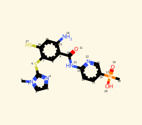 Cn1ccnc1Sc1cc(C(=O)Nc2ccc(P(C)(=O)O)cn2)c(N)cc1S